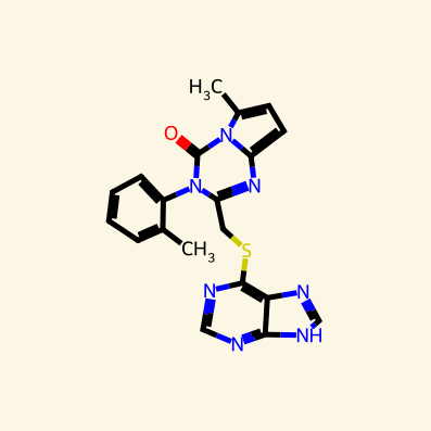 Cc1ccccc1-n1c(CSc2ncnc3[nH]cnc23)nc2ccc(C)n2c1=O